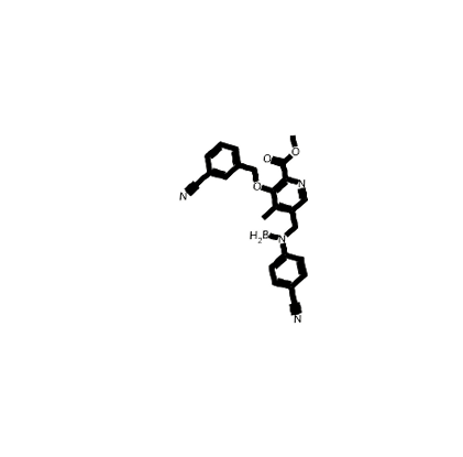 BN(Cc1cnc(C(=O)OC)c(OCc2cccc(C#N)c2)c1C)c1ccc(C#N)cc1